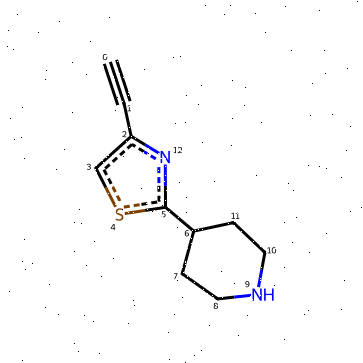 C#Cc1csc(C2CCNCC2)n1